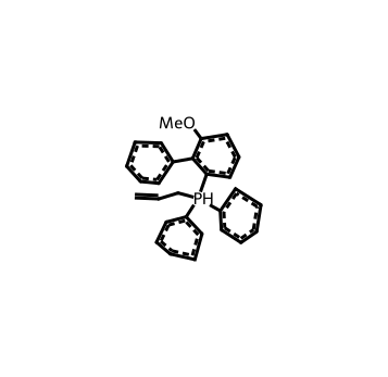 C=CC[PH](c1ccccc1)(c1ccccc1)c1cccc(OC)c1-c1ccccc1